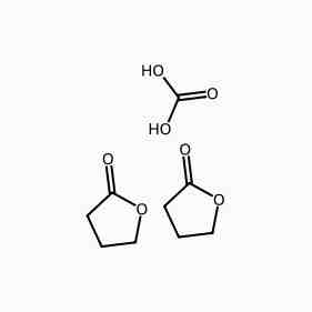 O=C(O)O.O=C1CCCO1.O=C1CCCO1